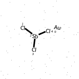 [Au].[Cl][Sb]([Cl])[Cl]